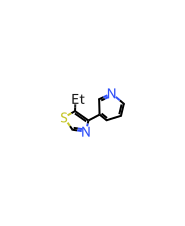 CCc1scnc1-c1cccnc1